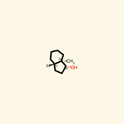 C[C@@]12CCCC[C@H]1CC[C@H]2O